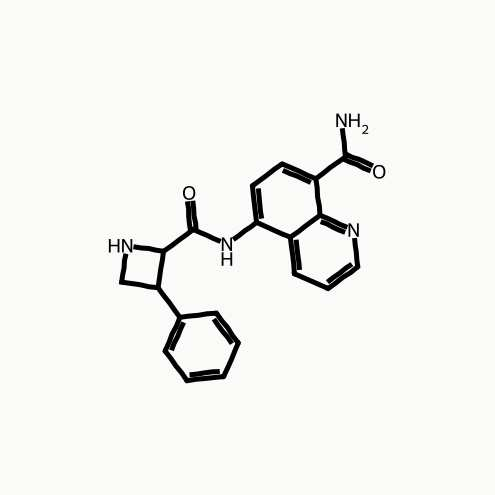 NC(=O)c1ccc(NC(=O)C2NCC2c2ccccc2)c2cccnc12